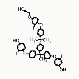 C#CCOc1ccc(Oc2ccc(C(C)(C)c3ccc(C(C)(c4ccc(Oc5ccc(O)cc5F)cc4)c4ccc(Oc5ccc(O)cc5F)cc4)cc3)cc2)c(F)c1